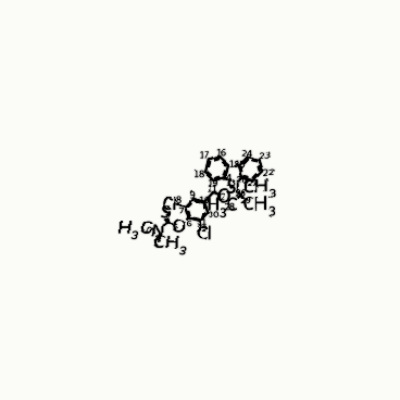 CN(C)C(=S)Oc1c(Cl)cc(CO[Si](c2ccccc2)(c2ccccc2)C(C)(C)C)cc1Cl